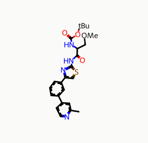 COCC(NC(=O)OC(C)(C)C)C(=O)Nc1nc(-c2cccc(-c3ccnc(C)c3)c2)cs1